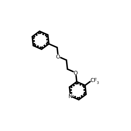 FC(F)(F)c1ccncc1OCCOCc1ccccc1